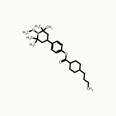 CCCCC1CCC(C(=O)Oc2ccc(C3CC(C)(C)N(OC)C(C)(C)C3)cc2)CC1